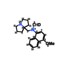 COc1ccc(N(C=O)CC23CCCN2CCC3)c2ccccc12